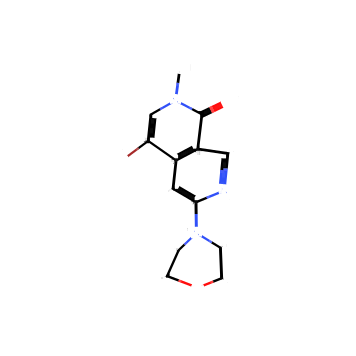 Cn1cc(Br)c2cc(N3CCOCC3)ncc2c1=O